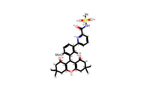 COc1ccc(-c2cccc(C(=O)NS(=O)(=O)C(C)C)n2)c(C)c1C1C2=C(CC(C)(C)CC2=O)OC2=C1C(=O)CC(C)(C)C2